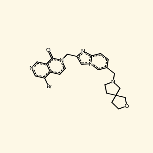 O=c1c2cncc(Br)c2ccn1Cc1cn2cc(CN3CCC4(CCOC4)C3)ccc2n1